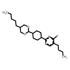 CCCCCC1COC(C2CCC(c3ncc(CCCC)c(F)n3)CC2)OC1